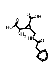 NC(C(=O)O)C1C(CNC(=O)Cc2ccccc2)C1C(=O)O